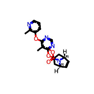 COC(=O)N1[C@H]2C=C[C@H]1CC(Oc1ncnc(Oc3cccnc3C)c1C)C2